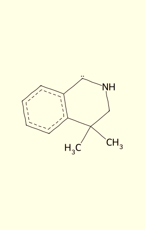 CC1(C)CN[C]c2ccccc21